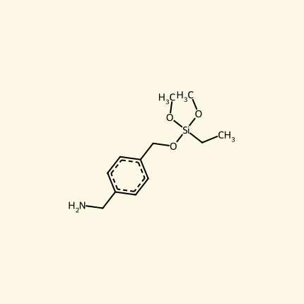 CC[Si](OC)(OC)OCc1ccc(CN)cc1